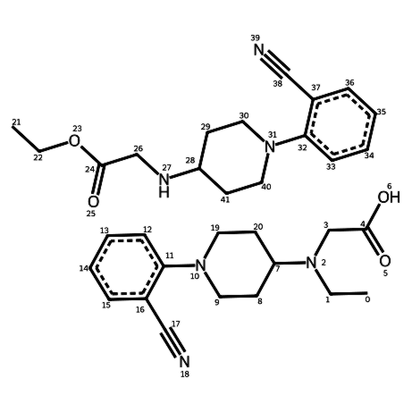 CCN(CC(=O)O)C1CCN(c2ccccc2C#N)CC1.CCOC(=O)CNC1CCN(c2ccccc2C#N)CC1